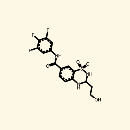 O=C(Nc1cc(F)c(F)c(F)c1)c1ccc2c(c1)S(=O)(=O)NC(CCO)N2